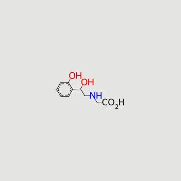 O=C(O)CNCC(O)c1ccccc1O